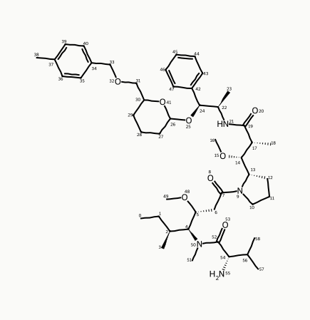 CC[C@H](C)[C@@H]([C@@H](CC(=O)N1CCC[C@H]1[C@H](OC)[C@@H](C)C(=O)N[C@H](C)[C@@H](OC1CCCC(COCc2ccc(C)cc2)O1)c1ccccc1)OC)N(C)C(=O)[C@@H](N)C(C)C